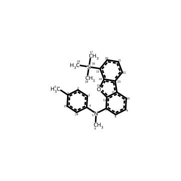 Cc1ccc(N(C)c2cccc3c2oc2c([Si](C)(C)C)cccc23)cc1